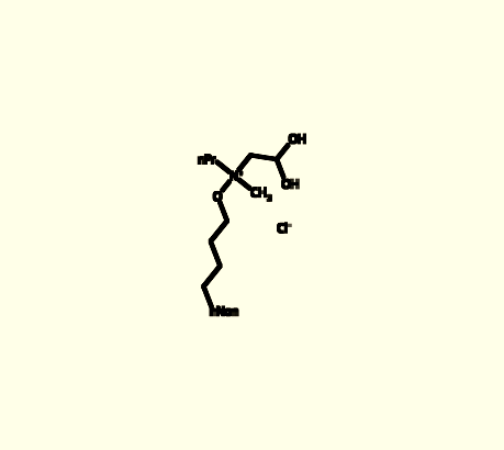 CCCCCCCCCCCCCO[N+](C)(CCC)CC(O)O.[Cl-]